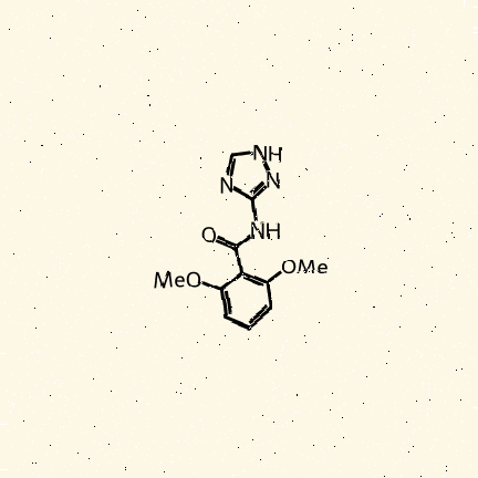 COc1cccc(OC)c1C(=O)Nc1nc[nH]n1